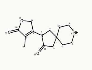 CC1=C(N2CC3(CCNCC3)CC2=O)COC1=O